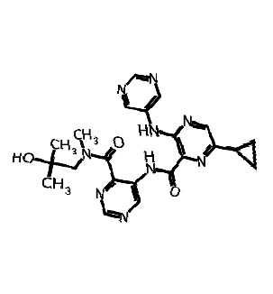 CN(CC(C)(C)O)C(=O)c1ncncc1NC(=O)c1nc(C2CC2)cnc1Nc1cncnc1